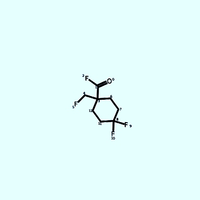 O=C(F)C1(CF)CCC(F)(F)CC1